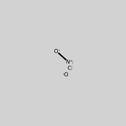 [C].[N+][O-].[O]